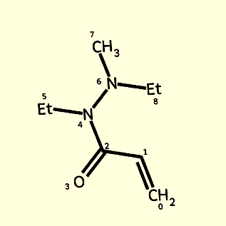 C=CC(=O)N(CC)N(C)CC